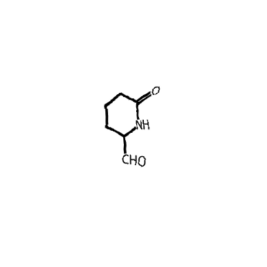 O=CC1CCCC(=O)N1